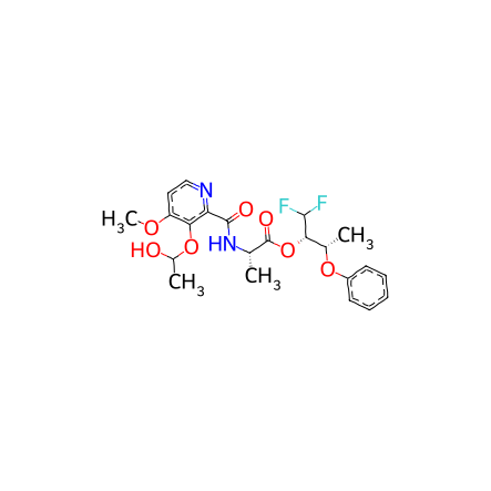 COc1ccnc(C(=O)N[C@@H](C)C(=O)O[C@H](C(F)F)[C@H](C)Oc2ccccc2)c1OC(C)O